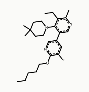 CCCCCOc1ncc(-c2cnc(C)c(CC)c2N2CCC(C)(C)CC2)cc1F